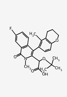 Cc1c(-c2c(C(OC(C)(C)C)C(=O)O)n(C)c(=O)c3cc(F)ccc23)ccc2c1CCCO2